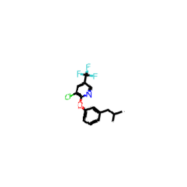 [CH2]C(C)Cc1cccc(Oc2ncc(C(F)(F)F)cc2Cl)c1